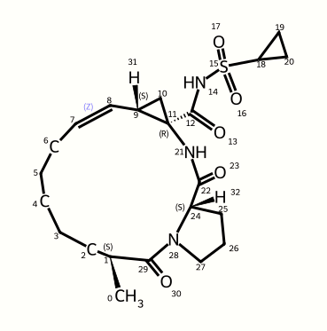 C[C@H]1CCCCC/C=C\[C@@H]2C[C@@]2(C(=O)NS(=O)(=O)C2CC2)NC(=O)[C@@H]2CCCN2C1=O